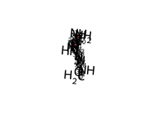 C=CC(=O)Nc1ccc2sc(N3CCC[C@@H](Nc4nc5ccc(/C(C=N)=C/N)c(C(F)(F)F)n5n4)C3)nc2c1